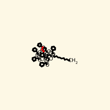 C=CCCCCCCCCOC1OC(COC(=O)c2ccccc2)C(OC2OC(COC(=O)c3ccccc3)C(OC(=O)c3ccccc3)C(OC(=O)c3ccccc3)C2C)C(OC(=O)c2ccccc2)C1OC(=O)c1ccccc1